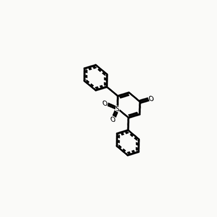 O=C1C=C(c2ccccc2)S(=O)(=O)C(c2ccccc2)=C1